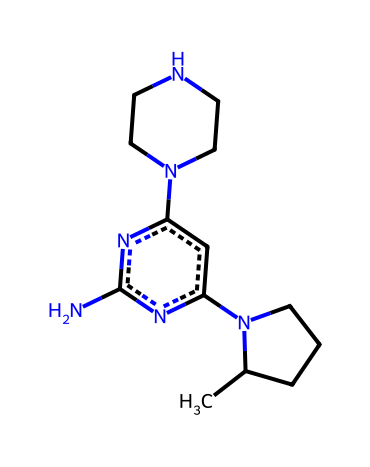 CC1CCCN1c1cc(N2CCNCC2)nc(N)n1